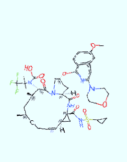 COc1ccc2c(O[C@@H]3C[C@H]4C(=O)N[C@]5(C(=O)NS(=O)(=O)C6CC6)C[C@H]5/C=C\CC[C@@H](C)C[C@@H](C)[C@H](N(C(=O)O)C(C)(C)C(F)(F)F)C(=O)N4C3)nc(N3CCOCC3)cc2c1